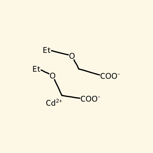 CCOCC(=O)[O-].CCOCC(=O)[O-].[Cd+2]